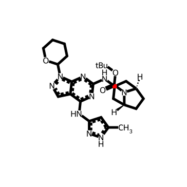 Cc1cc(Nc2nc(NC3C[C@H]4CC[C@H](C3)N4C(=O)OC(C)(C)C)nc3c2cnn3C2CCCCO2)n[nH]1